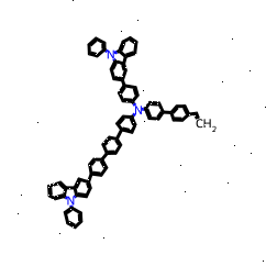 C=Cc1ccc(-c2ccc(N(c3ccc(-c4ccc(-c5ccc(-c6ccc7c(c6)c6ccccc6n7-c6ccccc6)cc5)cc4)cc3)c3ccc(-c4ccc5c(c4)c4ccccc4n5-c4ccccc4)cc3)cc2)cc1